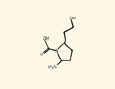 CC1CCC(CCO)N1C(=O)O